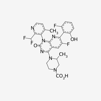 Cc1ccnc(C(F)F)c1-n1c(=O)nc(N2CCN(C(=O)O)CC2C)c2cc(F)c(-c3c(O)cccc3F)nc21